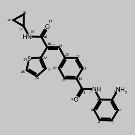 Nc1ccccc1NC(=O)c1ccc(/C=C(/C(=O)NC2CC2)c2cccs2)cc1